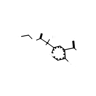 CCOC(=O)C(C)(C)c1cc(C(=O)O)c(N)cn1